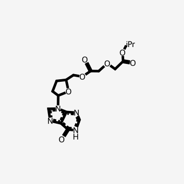 CC(C)OC(=O)COCC(=O)OCC1CCC(n2cnc3c(=O)[nH]cnc32)O1